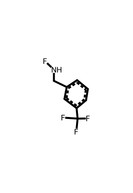 FNCc1cccc(C(F)(F)F)c1